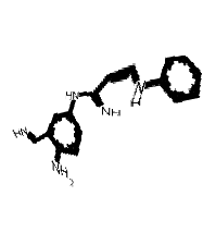 N=Cc1cc(NC(=N)/C=C\Nc2ccccc2)ccc1N